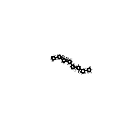 C1=CC2Oc3c(ccc4c3oc3ccc(-c5ccc6oc7c(ccc8c9cc(-c%10ccccc%10)ccc9oc87)c6c5)cc34)C2C=C1c1ccccc1